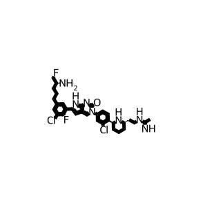 CC(=N)NCC[C@@H]1CCC[C@@H](c2ccc(-n3cc4cc(-c5cc(CCC[C@@H](N)CF)cc(Cl)c5F)[nH]c4nc3=O)cc2Cl)N1